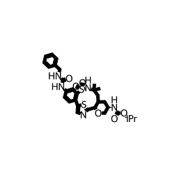 CC(C)OC(=O)N[C@@H]1COC2c3ncc(s3)-c3ccc(NC(=O)NCc4ccccc4)cc3S(=O)(=O)NC(C)(C)CC2C1